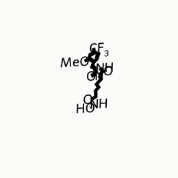 COc1cc(C(F)(F)F)ccc1C=C1NC(=O)N(CCCCCC(=O)NO)C1=O